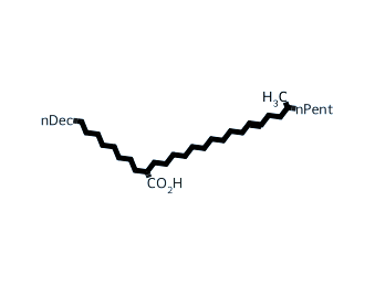 CCCCCCCCCCCCCCCCCCC(CCCCCCCCCCC=CCCC(C)CCCCC)C(=O)O